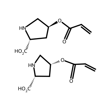 C=CC(=O)O[C@@H]1CN[C@@H](C(=O)O)C1.C=CC(=O)O[C@H]1CN[C@@H](C(=O)O)C1